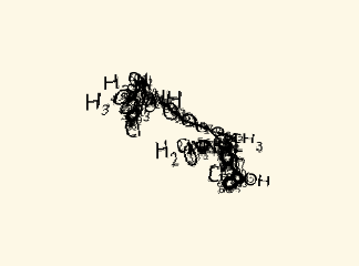 C=CC(=O)N1CCN(c2nc(N(C)CCOCCOCCOCCOCCNC(=O)C[C@@H]3N=C(c4ccc(Cl)cc4)c4c(sc(C)c4C)-n4c(C)nnc43)nc3c(F)c(-c4cc(O)cc5ccccc45)c(Cl)cc23)CC1